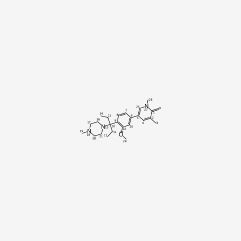 C=C1C(C)=CC(c2ccc(C(CC)(CC)N3CCN(C)CC3)c(OC)c2)=CN1C